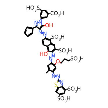 Cc1cc(N=Nc2c(S(=O)(=O)O)cc3c(S(=O)(=O)O)c(N=Nc4c(-c5ccccc5)nn(-c5cc(C(=O)O)cc(S(=O)(=O)O)c5)c4O)ccc3c2O)c(OCCCS(=O)(=O)O)cc1N=Nc1nc2c(S(=O)(=O)O)cc(S(=O)(=O)O)cc2s1